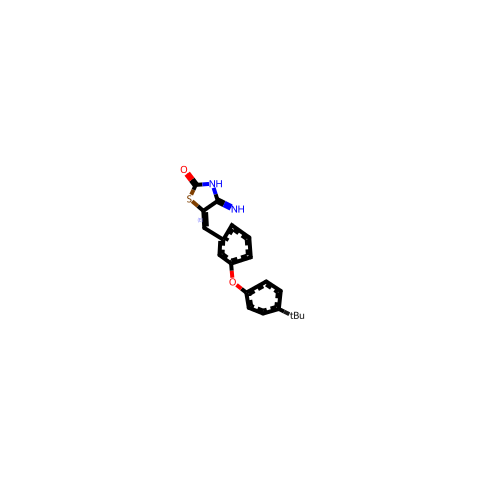 CC(C)(C)c1ccc(Oc2cccc(/C=C3/SC(=O)NC3=N)c2)cc1